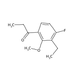 CCC(=O)c1ccc(F)c(CC)c1OC